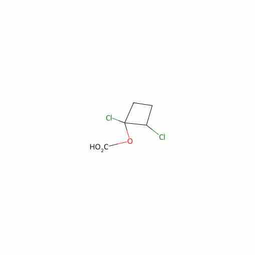 O=C(O)OC1(Cl)CCC1Cl